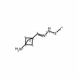 NC12CC(/C=N/NSI)(C1)C2